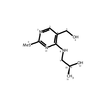 CSc1ncc(CO)c(NC[C@H](C)O)n1